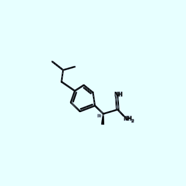 CC(C)Cc1ccc([C@H](C)C(=N)N)cc1